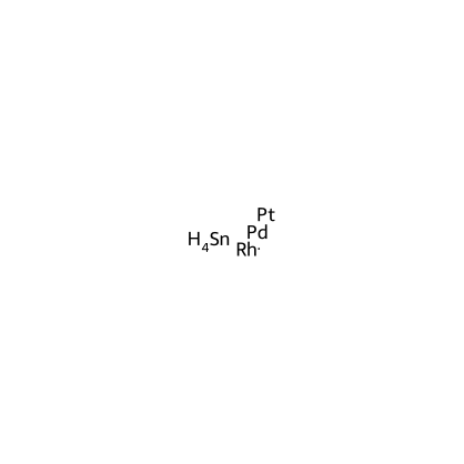 [Pd].[Pt].[Rh].[SnH4]